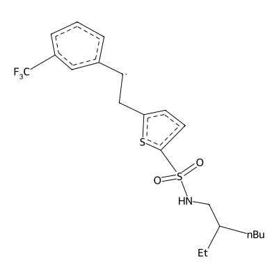 CCCCC(CC)CNS(=O)(=O)c1ccc(C[CH]c2cccc(C(F)(F)F)c2)s1